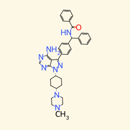 CN1CCN([C@H]2CC[C@@H](n3nc(-c4ccc(C(NC(=O)c5ccccc5)c5ccccc5)cc4)c4c(N)ncnc43)CC2)CC1